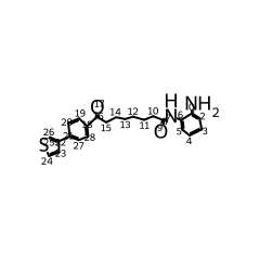 Nc1ccccc1NC(=O)CCCCCCC(=O)c1ccc(-c2ccsc2)cc1